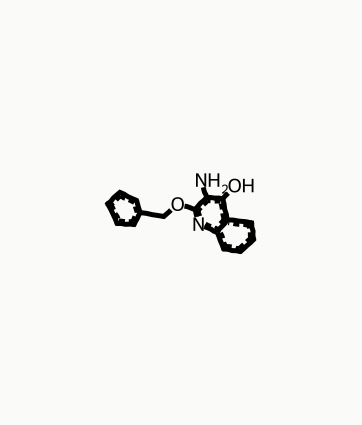 Nc1c(OCc2ccccc2)nc2ccccc2c1O